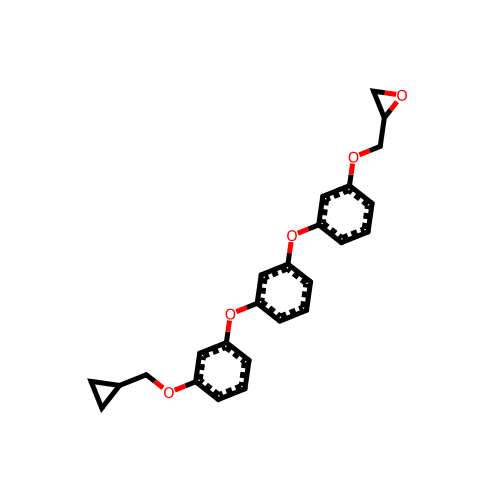 c1cc(OCC2CC2)cc(Oc2cccc(Oc3cccc(OCC4CO4)c3)c2)c1